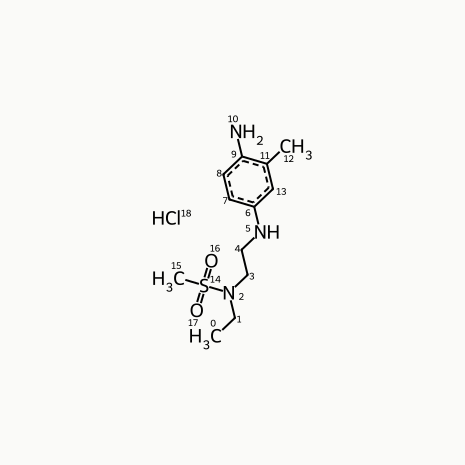 CCN(CCNc1ccc(N)c(C)c1)S(C)(=O)=O.Cl